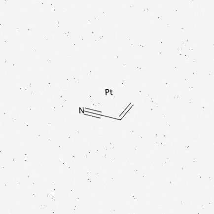 C=CC#N.[Pt]